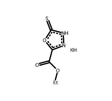 CCOC(=O)c1n[nH]c(=S)o1.[KH]